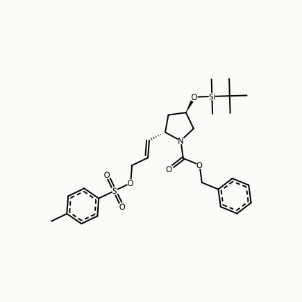 Cc1ccc(S(=O)(=O)OC/C=C/[C@@H]2C[C@@H](O[Si](C)(C)C(C)(C)C)CN2C(=O)OCc2ccccc2)cc1